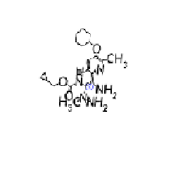 Cc1nc(/C(N)=C(\NC(=O)OCC2CC2)N(C)N)c(F)cc1OC1CCCCC1